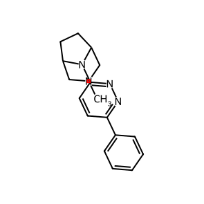 CN1CC2CCC(C1)N2c1ccc(-c2ccccc2)nn1